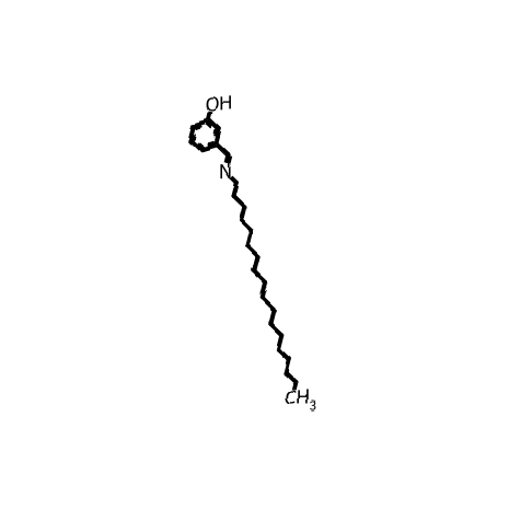 CCCCCCCCCCCCCCCCCCN=Cc1cccc(O)c1